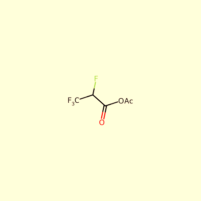 CC(=O)OC(=O)C(F)C(F)(F)F